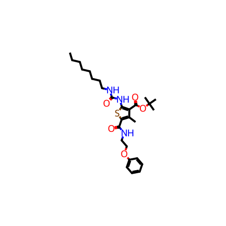 CCCCCCCCNC(=O)Nc1sc(C(=O)NCCOc2ccccc2)c(C)c1C(=O)OC(C)(C)C